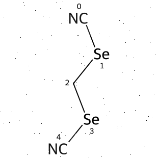 N#C[Se]C[Se]C#N